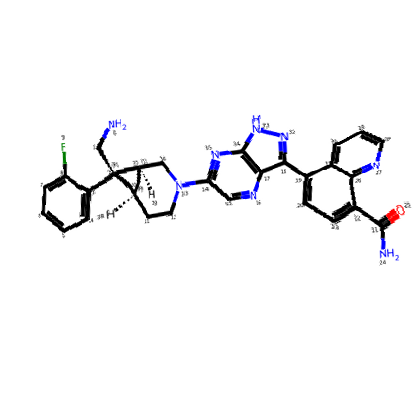 NC[C@]1(c2ccccc2F)[C@@H]2CCN(c3cnc4c(-c5ccc(C(N)=O)c6ncccc56)n[nH]c4n3)C[C@@H]21